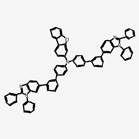 c1ccc(-c2nc3ccc(-c4cccc(-c5ccc(N(c6ccc(-c7cccc(-c8ccc9nc(-c%10ccccc%10)n(-c%10ccccc%10)c9c8)c7)cc6)c6ccc7c(c6)oc6ccccc67)cc5)c4)cc3n2-c2ccccc2)cc1